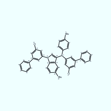 CC(C)(C)c1ccc(N(c2cc(Cl)cc(-c3ccccc3)c2)c2cn(-c3cc(Cl)cc(-c4ccccc4)c3)c3ccc(C(C)(C)C)cc23)cc1